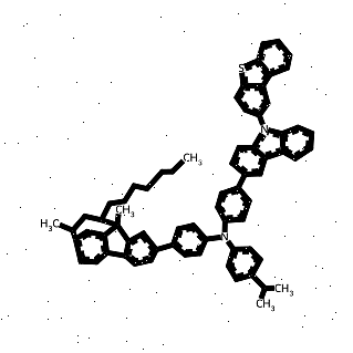 CCCCCCCC1CC(C)c2ccc3c(c2)C1(C)c1cc(-c2ccc(N(c4ccc(-c5ccc6c(c5)c5ccccc5n6-c5ccc6sc7ccccc7c6c5)cc4)c4ccc(C(C)C)cc4)cc2)ccc1-3